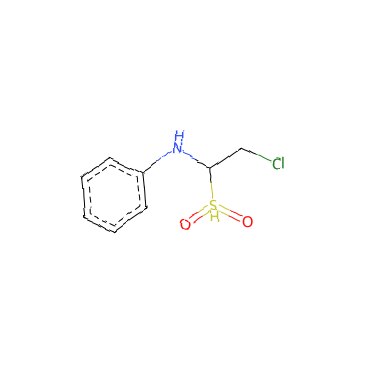 O=[SH](=O)C(CCl)Nc1ccccc1